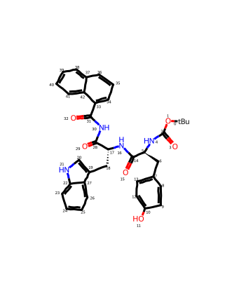 CC(C)(C)OC(=O)N[C@@H](Cc1ccc(O)cc1)C(=O)N[C@H](Cc1c[nH]c2ccccc12)C(=O)NC(=O)c1cccc2ccccc12